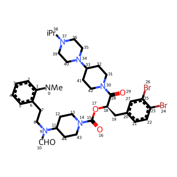 CNc1ccccc1CCN(C=O)C1CCN(C(=O)O[C@H](Cc2ccc(Br)c(Br)c2)C(=O)N2CCC(N3CCN(C(C)C)CC3)CC2)CC1